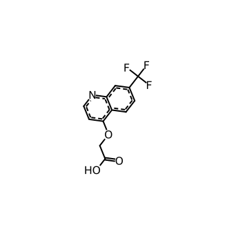 O=C(O)COc1ccnc2cc(C(F)(F)F)ccc12